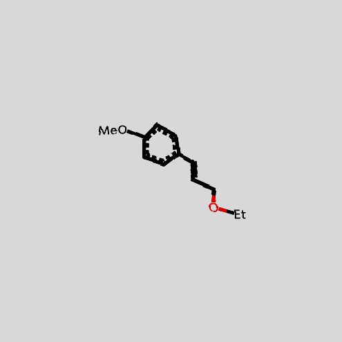 CCOCC=Cc1ccc(OC)cc1